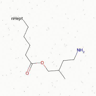 CCCCCCCCCCCC(=O)OCC(C)CCN